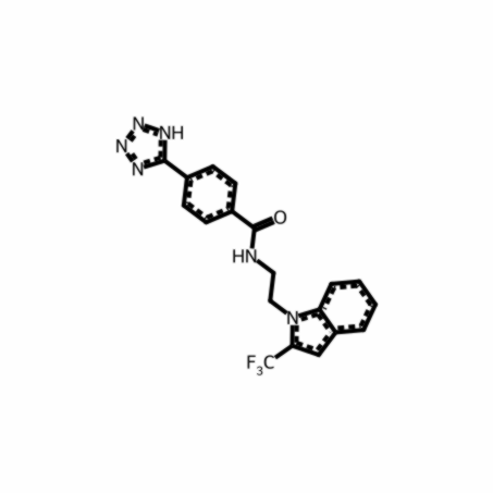 O=C(NCCn1c(C(F)(F)F)cc2ccccc21)c1ccc(-c2nnn[nH]2)cc1